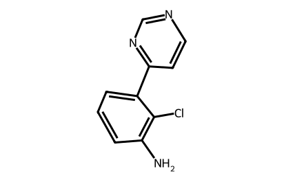 Nc1cccc(-c2ccncn2)c1Cl